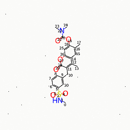 CNS(=O)(=O)c1cccc(Cc2c(C)c3cc(C)c(OC(=O)N(C)C)cc3oc2=O)c1